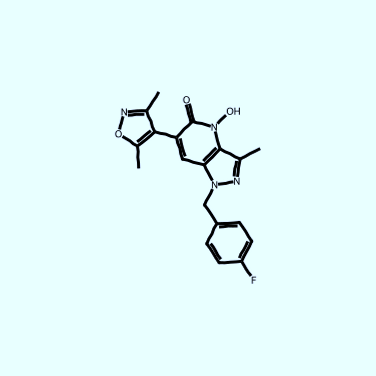 Cc1noc(C)c1-c1cc2c(c(C)nn2Cc2ccc(F)cc2)n(O)c1=O